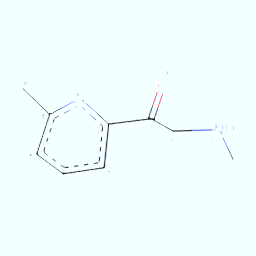 CNCC(=O)c1cccc(C)n1